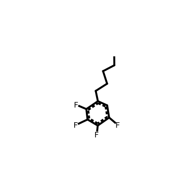 CCCCCc1cc(F)c(F)c(F)c1F